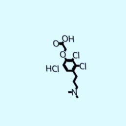 CN(C)CCCc1ccc(OCC(=O)O)c(Cl)c1Cl.Cl